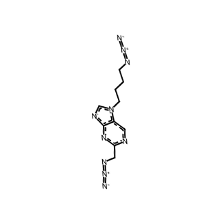 [N-]=[N+]=NCCCCn1cnc2nc(CN=[N+]=[N-])ncc21